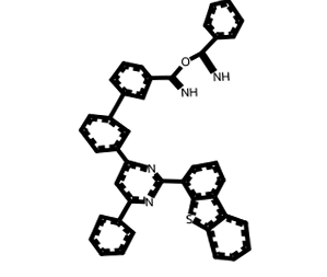 N=C(OC(=N)c1cccc(-c2cccc(-c3cc(-c4ccccc4)nc(-c4cccc5c4sc4ccccc45)n3)c2)c1)c1ccccc1